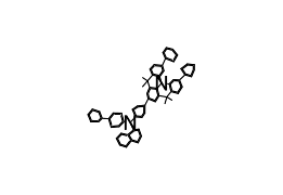 CC1(C)c2ccc(-c3ccccc3)cc2N2c3cc(-c4ccccc4)ccc3C(C)(C)c3cc(-c4ccc(N(c5ccc(-c6ccccc6)cc5)c5cccc6ccccc56)cc4)cc1c32